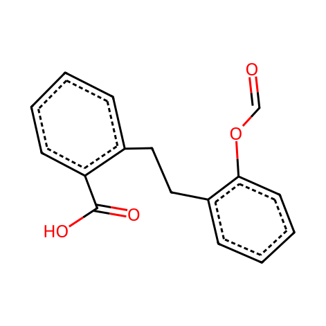 O=COc1ccccc1CCc1ccccc1C(=O)O